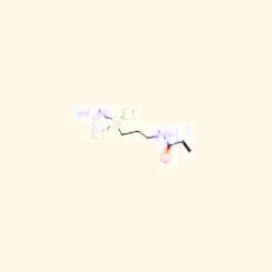 C=CC(=O)NCCC[Si](N)(CC)CC